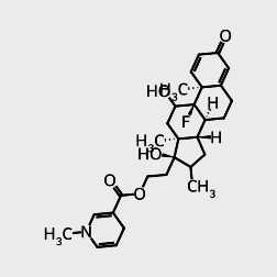 CC1C[C@H]2[C@@H]3CCC4=CC(=O)C=C[C@]4(C)[C@@]3(F)C(O)C[C@]2(C)[C@@]1(O)CCOC(=O)C1=CN(C)C=CC1